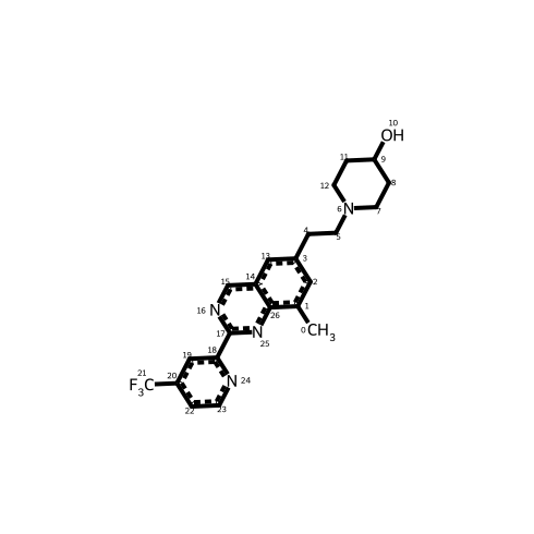 Cc1cc(CCN2CCC(O)CC2)cc2cnc(-c3cc(C(F)(F)F)ccn3)nc12